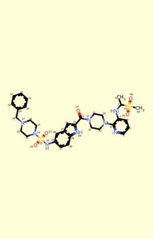 CC(Nc1cccnc1N1CCN(C(=O)c2cc3cc(NS(=O)(=O)N4CCN(Cc5ccccc5)CC4)ccc3[nH]2)CC1)S(C)(=O)=O